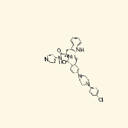 O=C(N[C@H](Cc1c[nH]c2ccccc12)C(=O)Nc1ccncc1)c1ccc(N2CCN(c3ccc(Cl)cc3)CC2)cc1F